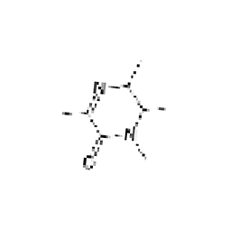 CC1=NC(C)C(C)N(C)C1=O